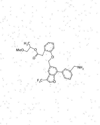 COCC(C)OC(=O)Cc1ccccc1OCc1cc(-c2cccc(CN)c2)c2occ(C(F)(F)F)c2c1